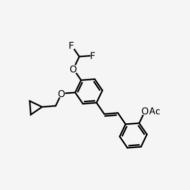 CC(=O)Oc1ccccc1/C=C/c1ccc(OC(F)F)c(OCC2CC2)c1